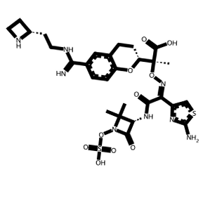 CC1(C)[C@H](NC(=O)/C(=N\O[C@](C)(C(=O)O)[C@H]2CCc3cc(C(=N)NCC[C@H]4CCN4)ccc3O2)c2csc(N)n2)C(=O)N1OS(=O)(=O)O